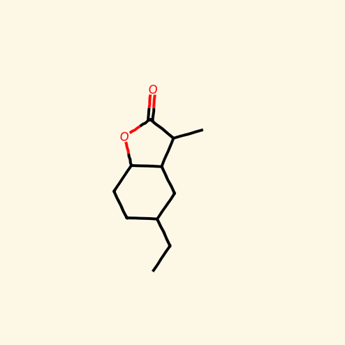 CCC1CCC2OC(=O)C(C)C2C1